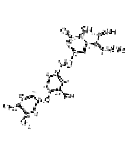 CN/C=C(\C=N)c1cc(OCc2ccc(Oc3ccc(Cl)c(C(F)(F)F)c3)c(F)c2)nc(=O)n1C